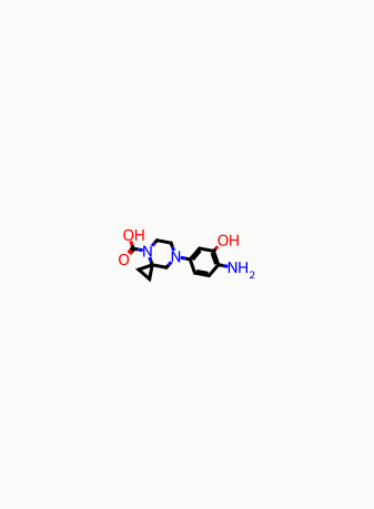 Nc1ccc(N2CCN(C(=O)O)C3(CC3)C2)cc1O